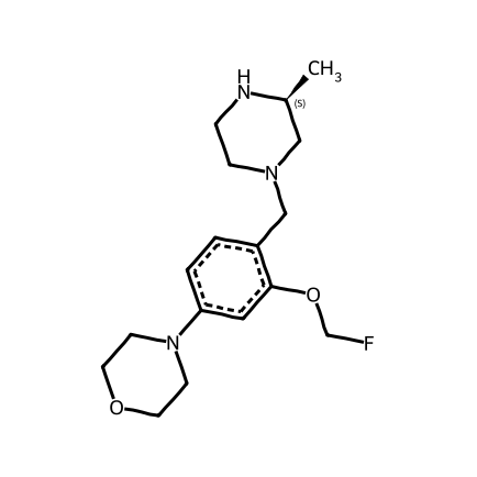 C[C@H]1CN(Cc2ccc(N3CCOCC3)cc2OCF)CCN1